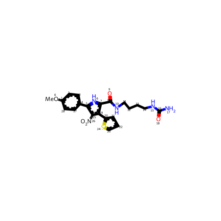 COc1ccc(-c2[nH]c(C(=O)NCCCCNC(N)=O)c(-c3cccs3)c2[N+](=O)[O-])cc1